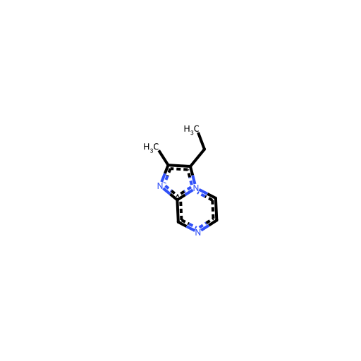 CCc1c(C)nc2cnccn12